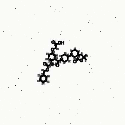 CC1(C)CC2(CCCN(C3CCN(C(=O)c4cc(OCC(=O)O)ccc4NC(=O)OCc4ccccc4)CC3)C2)C(=O)O1